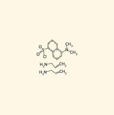 C=CCN.C=CCN.CN(C)c1cccc2c(S(=O)(=O)Cl)cccc12